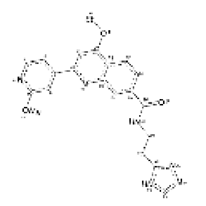 CCOc1cc(-c2ccnc(OC)c2)nc2cc(C(=O)NCCc3nnc[nH]3)ccc12